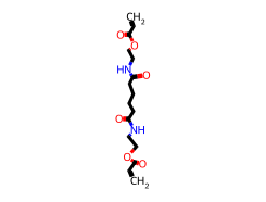 C=CC(=O)OCCNC(=O)CCCCC(=O)NCCOC(=O)C=C